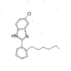 CCCCCCc1ccccc1-c1nc2cc(Cl)ccc2[nH]1